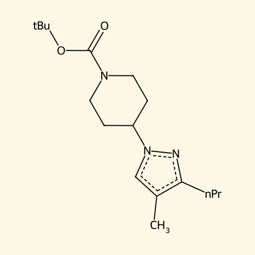 CCCc1nn(C2CCN(C(=O)OC(C)(C)C)CC2)cc1C